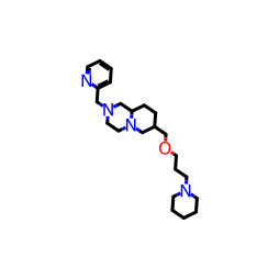 c1ccc(CN2CCN3CC(COCCCN4CCCCC4)CCC3C2)nc1